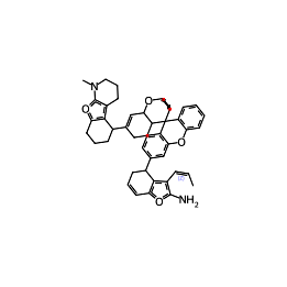 C/C=C\c1c(N)oc2c1C(c1ccc3c(c1)Oc1ccccc1C31C3=CCCC=C3OC3C=C(C4CCCc5oc6c(c54)CCCN6C)CCC31)CC=C2